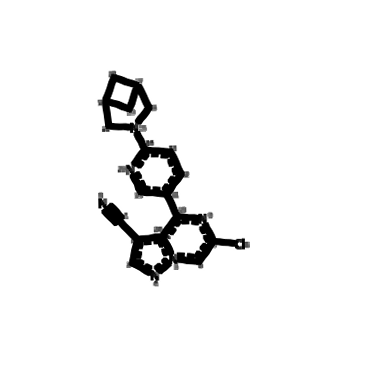 N#Cc1cnn2cc(Cl)nc(-c3ccc(N4CC5CC(C5)C4)nc3)c12